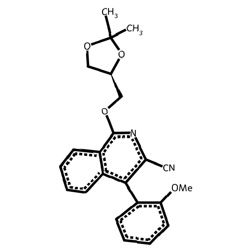 COc1ccccc1-c1c(C#N)nc(OC[C@H]2COC(C)(C)O2)c2ccccc12